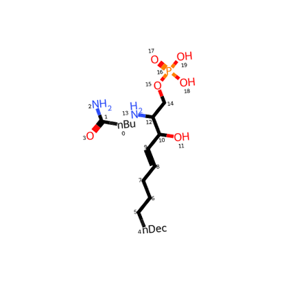 CCCCC(N)=O.CCCCCCCCCCCCCC=CC(O)C(N)COP(=O)(O)O